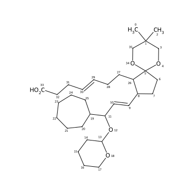 CC1(C)COC2(CCC(C=CC(OC3CCCCO3)C3CCCCCC3)C2CCC=CCCC(=O)O)OC1